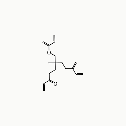 C=CC(=C)CCC(C)(CCC(=O)C=C)COC(=C)C=C